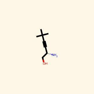 CC(C)(C)C#C[C@H](N)CO